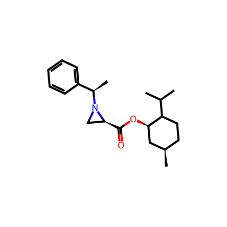 CC(C)C1CC[C@@H](C)C[C@H]1OC(=O)[C@H]1CN1[C@H](C)c1ccccc1